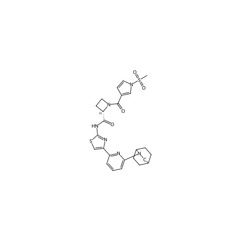 CS(=O)(=O)n1ccc(C(=O)N2CC[C@H]2C(=O)Nc2nc(-c3cccc(N4CC5CCC4CC5)n3)cs2)c1